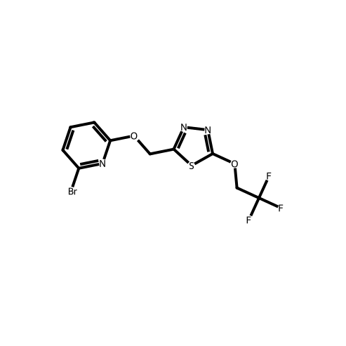 FC(F)(F)COc1nnc(COc2cccc(Br)n2)s1